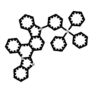 c1ccc([Si](c2ccccc2)(c2ccccc2)c2cccc(-n3c4ccccc4c4c5c6ccccc6n6c7ccccc7nc6c5ccc43)c2)cc1